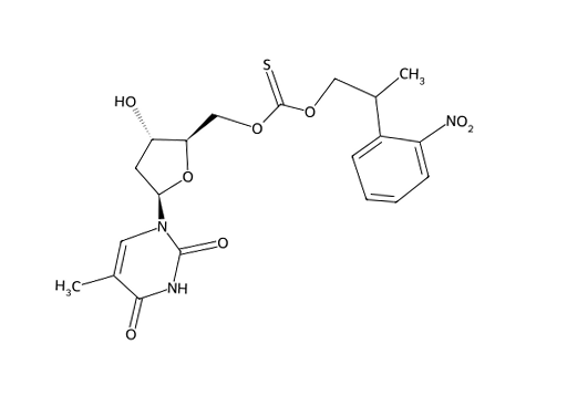 Cc1cn([C@H]2C[C@H](O)[C@@H](COC(=S)OCC(C)c3ccccc3[N+](=O)[O-])O2)c(=O)[nH]c1=O